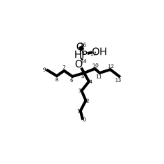 CCCCCC(CCCC)(CCCC)O[PH](=O)O